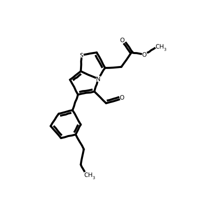 CCCc1cccc(-c2cc3scc(CC(=O)OC)n3c2C=O)c1